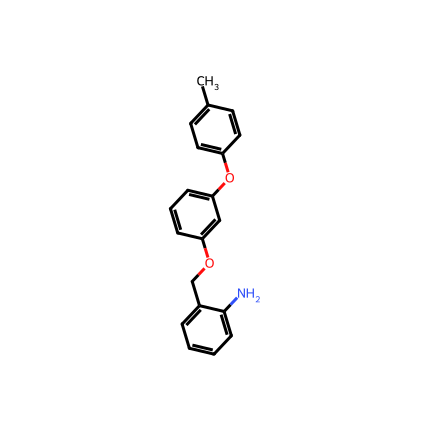 Cc1ccc(Oc2cccc(OCc3ccccc3N)c2)cc1